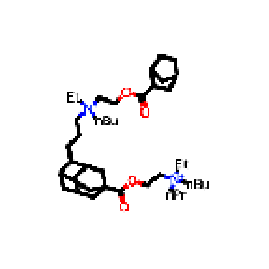 CCCC[N+](CC)(CCCC1C2CC3CC1CC(C(=O)OCC[N+](CC)(CCC)CCCC)(C3)C2)CCOC(=O)C1CC2CCC1C2